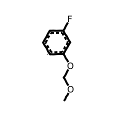 COCOc1[c]ccc(F)c1